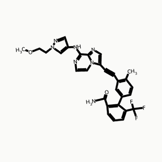 COCCn1cc(Nc2nccn3c(C#Cc4cc(-c5c(C(N)=O)cccc5C(F)(F)F)ccc4C)cnc23)cn1